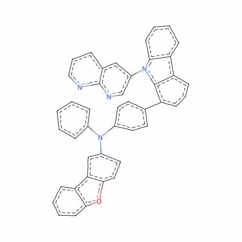 c1ccc(N(c2ccc(-c3cccc4c5ccccc5n(-c5cnc6ncccc6c5)c34)cc2)c2ccc3oc4ccccc4c3c2)cc1